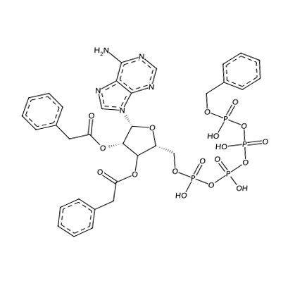 Nc1ncnc2c1ncn2[C@@H]1O[C@H](COP(=O)(O)OP(=O)(O)OP(=O)(O)OP(=O)(O)OCc2ccccc2)C(OC(=O)Cc2ccccc2)[C@@H]1OC(=O)Cc1ccccc1